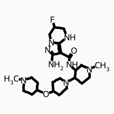 CN1CCC(OC2CCN(C3CCN(C)CC3NC(=O)c3c(N)nn4c3NCC(F)C4)CC2)CC1